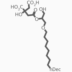 CCCCCCCCCCCCCCCCCCOCC(CO)OC(=O)CC(O)(CC(=O)O)C(=O)O